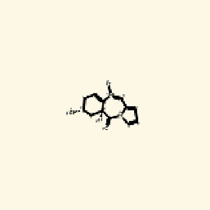 O=C1[C@@H]2C[C@H](O)CC=C2[N+]([O-])=Cc2cccn21